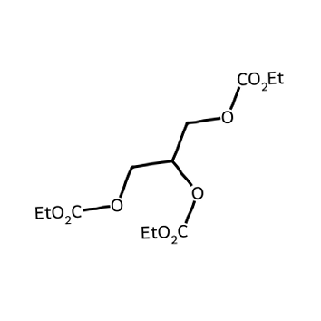 CCOC(=O)OCC(COC(=O)OCC)OC(=O)OCC